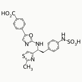 Cc1nc([C@H](Cc2ccc(NS(=O)(=O)O)cc2)Nc2ncc(-c3ccc(C(=O)O)cc3)o2)cs1